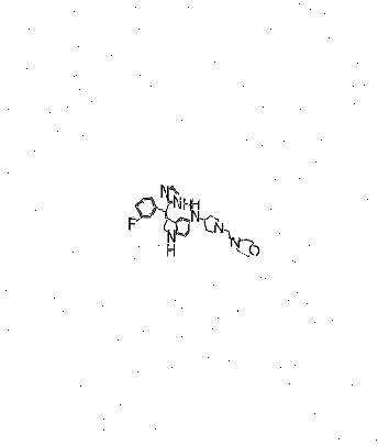 Fc1cccc(C(=C2CNc3ccc(NC4CCN(CCN5CCOCC5)CC4)cc32)c2ncc[nH]2)c1